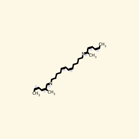 C\C=C/C=C\C(C)=N\CCCC/C=C\C=C/CCCC/N=C/C(C)=C\C=C/C